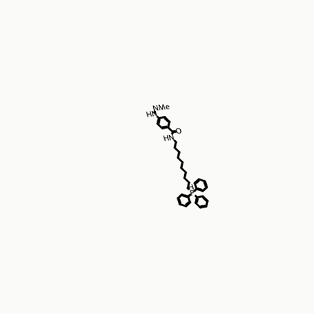 CNNc1ccc(C(=O)NCCCCCCCCCC[PH](c2ccccc2)(c2ccccc2)c2ccccc2)cc1